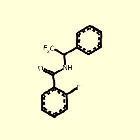 O=C(NC(c1ccccc1)C(F)(F)F)c1ccccc1F